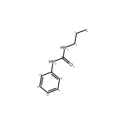 [CH2]CCNC(=O)Nc1ccccc1